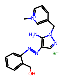 C[n+]1cccc(Cn2ncc(N=Nc3ccccc3CO)c2N)c1.[Br-]